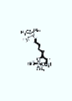 CC(C)(C)[Si](C)(C)OCCCCC(CO)O[Si](C)(C)C(C)(C)C